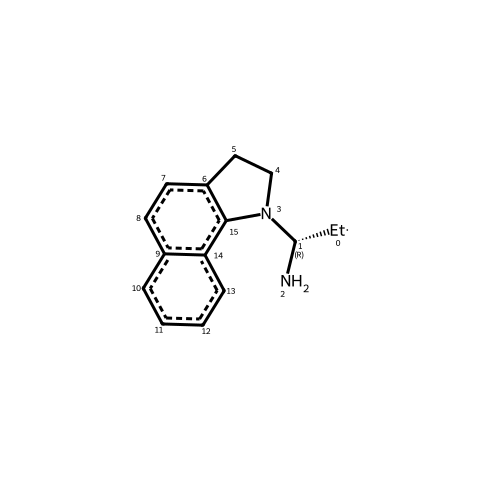 C[CH][C@H](N)N1CCc2ccc3ccccc3c21